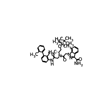 Cc1ccccc1-c1cccc(NC(=O)CN(C(=O)Cn2nc(C(N)=O)c3ccccc32)[C@H](C)CO[Si](C)(C)C(C)(C)C)c1F